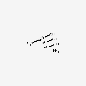 CCCO.CCCO.CCCO.N.O=[N+]([O-])O